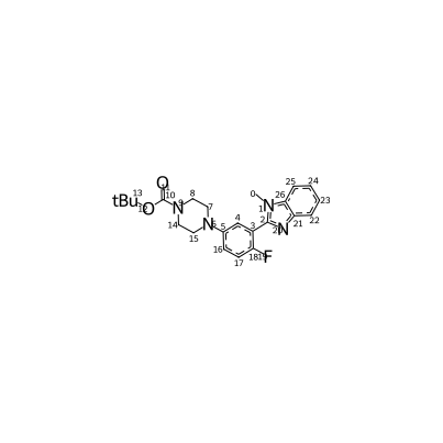 Cn1c(-c2cc(N3CCN(C(=O)OC(C)(C)C)CC3)ccc2F)nc2ccccc21